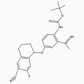 CC(=N)c1cc(OC2CCCc3cc(C#N)c(F)cc32)ccc1NC(=O)OC(C)(C)C